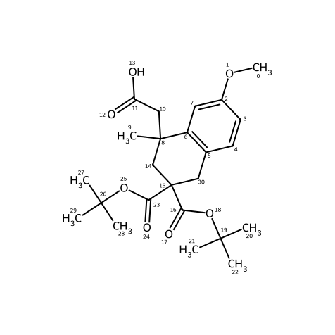 COc1ccc2c(c1)C(C)(CC(=O)O)CC(C(=O)OC(C)(C)C)(C(=O)OC(C)(C)C)C2